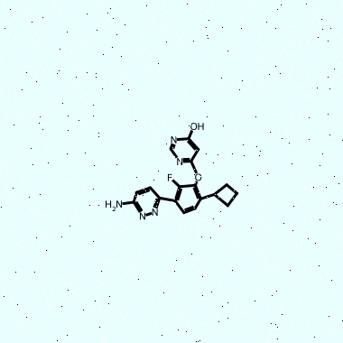 Nc1ccc(-c2ccc(C3CCC3)c(Oc3cc(O)ncn3)c2F)nn1